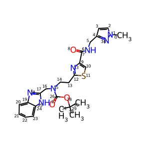 Cn1ccc(CNC(=O)c2csc(CCN(Cc3nc4ccccc4[nH]3)C(=O)OC(C)(C)C)n2)n1